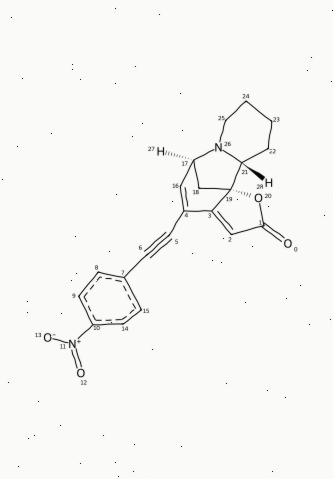 O=C1C=C2C(C#Cc3ccc([N+](=O)[O-])cc3)=C[C@@H]3C[C@@]2(O1)[C@H]1CCCCN31